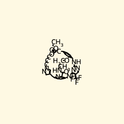 CCOP1(=O)Cc2ccc(c(OC)c2)Nc2ncc(C(F)(F)F)c(n2)Nc2ccc(nc2C(=O)NC)-c2cnn(c2)CCCO1